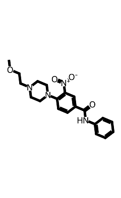 COCCN1CCN(c2ccc(C(=O)Nc3ccccc3)cc2[N+](=O)[O-])CC1